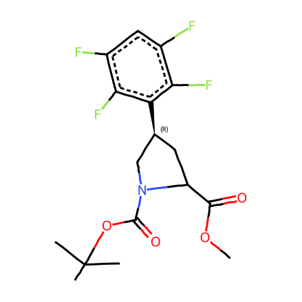 COC(=O)C1C[C@H](c2c(F)c(F)cc(F)c2F)CN1C(=O)OC(C)(C)C